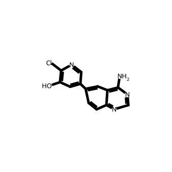 Nc1ncnc2ccc(-c3cnc(Cl)c(O)c3)cc12